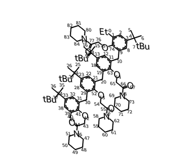 CCc1cc(C(C)(C)C(C)(C)C)cc(Cc2cc(C(C)(C)C(C)(C)C)cc(Cc3cc(C(C)(C)C(C)(C)C)cc(Cc4cc(C(C)(C)C(C)(C)C)cc(C)c4OCC(=O)N4CCCCC4)c3OCC(=O)N3CCCCC3)c2OCC(=O)N2CCCCC2)c1OCC(=O)N1CCCCC1